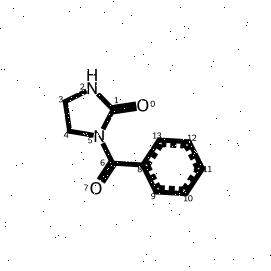 O=C1NCCN1C(=O)c1ccccc1